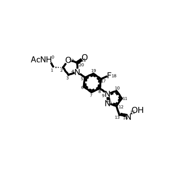 CC(=O)NC[C@H]1CN(c2ccc(-n3ccc(/C=N\O)n3)c(F)c2)C(=O)O1